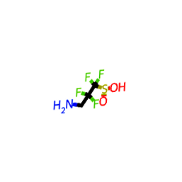 NCC(F)(F)C(F)(F)S(=O)O